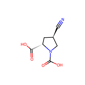 N#C[C@@H]1C[C@@H](C(=O)O)N(C(=O)O)C1